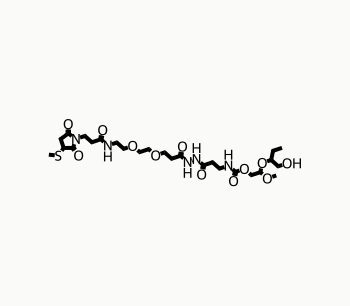 CCC(CO)OC(COC(=O)NCCC(=O)NNC(=O)CCOCCOCCNC(=O)CCN1C(=O)CC(SC)C1=O)OC